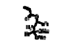 C=CC(=O)OC(CCC)[SiH2]C(CC)(OC)OC